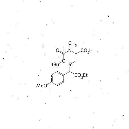 CCOC(=O)C(SCC(C(=O)O)N(C)C(=O)OC(C)(C)C)c1ccc(OC)cc1